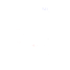 C=C(C)C(=O)O.CCOS(=O)(=O)c1ccc(N)cc1